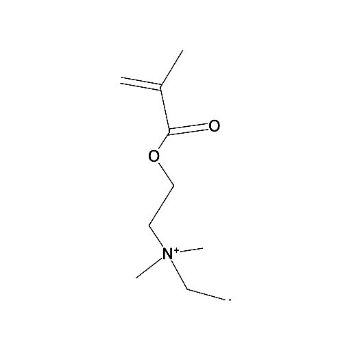 [CH2]C[N+](C)(C)CCOC(=O)C(=C)C